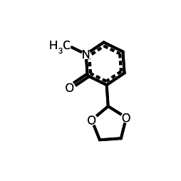 Cn1cccc(C2OCCO2)c1=O